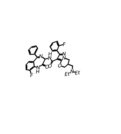 CCN(CC)CC1COc2c(C(=O)NC3N=C(c4ccccc4)c4cccc(F)c4NC3=O)c(-c3ccccc3F)nn2C1